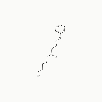 O=C(CCCCCBr)OCCOc1ccccc1